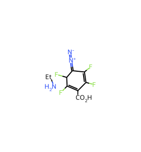 CCN.[N-]=[N+]=C1C(F)=C(F)C(C(=O)O)=C(F)C1F